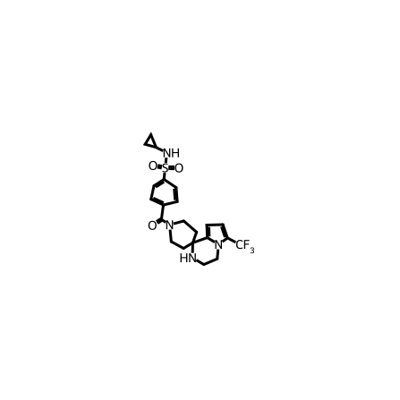 O=C(c1ccc(S(=O)(=O)NC2CC2)cc1)N1CCC2(CC1)NCCn1c(C(F)(F)F)ccc12